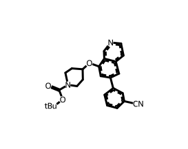 CC(C)(C)OC(=O)N1CCC(Oc2cc(-c3cccc(C#N)c3)cc3ccncc23)CC1